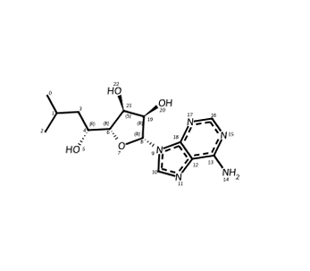 CC(C)C[C@@H](O)[C@H]1O[C@@H](n2cnc3c(N)ncnc32)[C@H](O)[C@@H]1O